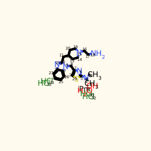 CC(C)O.CN(C)c1nc(Cn2c(CC3CCN(CCN)CC3)nc3ccccc32)cs1.Cl.Cl.Cl.Cl.O